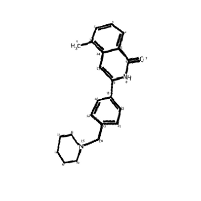 Cc1cccc2c(=O)[nH]c(-c3ccc(CN4CCCCC4)cc3)cc12